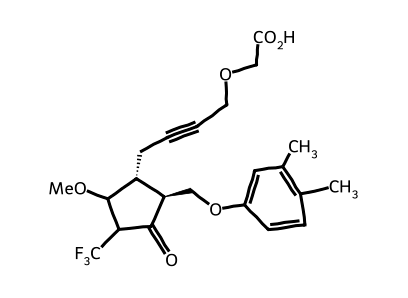 COC1C(C(F)(F)F)C(=O)[C@H](COc2ccc(C)c(C)c2)[C@H]1CC#CCOCC(=O)O